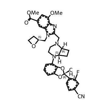 COC(=O)c1cc(OC)c2nc(CN3CCN(c4cccc5c4O[C@](C)(c4ccc(C#N)cc4F)O5)[C@H]4CC[C@H]43)n(C[C@@H]3CCO3)c2c1